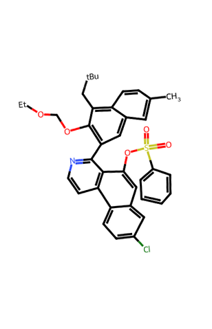 CCOCOc1c(-c2nccc3c2c(OS(=O)(=O)c2ccccc2)cc2cc(Cl)ccc23)cc2cc(C)ccc2c1CC(C)(C)C